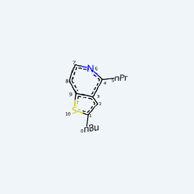 CCCCc1cc2c(CCC)nccc2s1